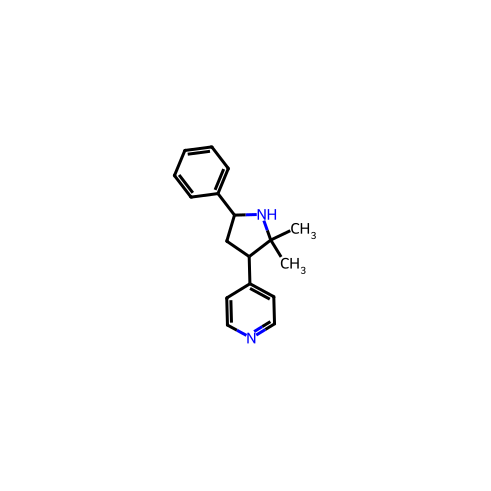 CC1(C)NC(c2ccccc2)CC1c1ccncc1